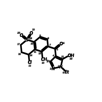 CCn1ncc(C(=O)c2ccc3c(c2C)C(Cl)CCS3(=O)=O)c1O